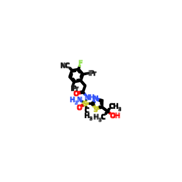 CC(C)c1cc(C#N)c(F)c(C(C)C)c1CC(=O)NS(C)(N)(=O)c1ncc(C(C)(C)O)s1